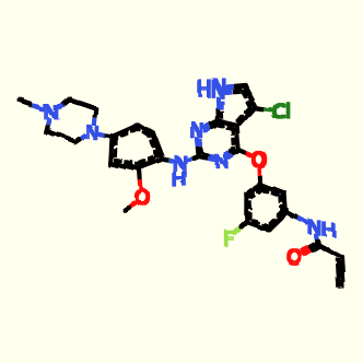 C=CC(=O)Nc1cc(F)cc(Oc2nc(Nc3ccc(N4CCN(C)CC4)cc3OC)nc3[nH]cc(Cl)c23)c1